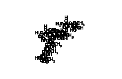 CCCC(=O)O[C@H](C)[C@H](O)C(=O)[C@@H](OC)[C@@H]1Cc2cc3cc(O[C@H]4C[C@@H](O[C@H]5C[C@@H](O)[C@H](O)C(C)O5)[C@H](O)C(C)O4)c(C)c(O)c3c(O)c2C(=O)[C@H]1O[C@H]1C[C@@H](O[C@H]2C[C@@H](O[C@H]3C[C@](C)(O)[C@H](O)C(C)O3)[C@@H](O)C(C)O2)[C@H](O)C(C)O1